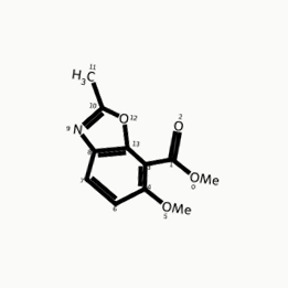 COC(=O)c1c(OC)ccc2nc(C)oc12